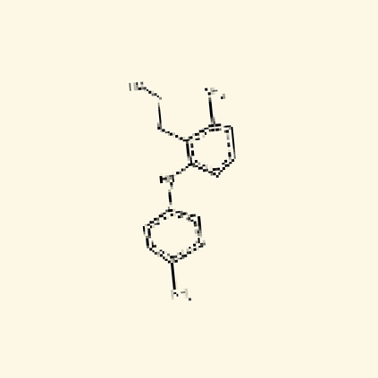 Nc1ccc(Nc2cccc(N)c2CCO)cc1